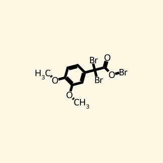 COc1ccc(C(Br)(Br)C(=O)OBr)cc1OC